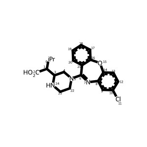 CC(C)C(C(=O)O)C1CN(C2=Nc3cc(Cl)ccc3Oc3ccccc32)CCN1